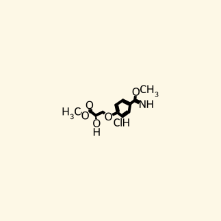 COC(=N)c1ccc(OC[C@@H](O)C(=O)OC)cc1.Cl